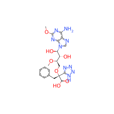 COc1nc(N)c2ncn([C@H](O)[C@H](O)[C@@H](CO[C@@](Cc3ccccc3)(C(=O)O)c3nnn[nH]3)OC)c2n1